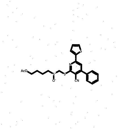 CC(=O)OCCCC[S+]([O-])CSc1nc(-c2cccs2)cc(-c2ccccc2)c1C#N